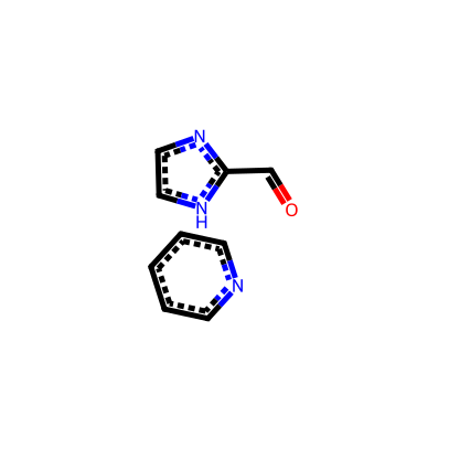 O=Cc1ncc[nH]1.c1ccncc1